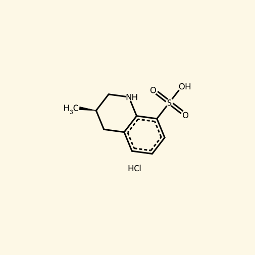 C[C@H]1CNc2c(cccc2S(=O)(=O)O)C1.Cl